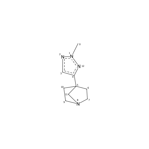 Cn1ncc(C23CCN(CC2)C3)n1